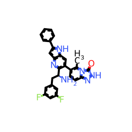 Cc1c(-c2cc3[nH]c(-c4ccccc4)cc3nc2[C@@H](N)Cc2cc(F)cc(F)c2)ccc2n[nH]c(=O)n12